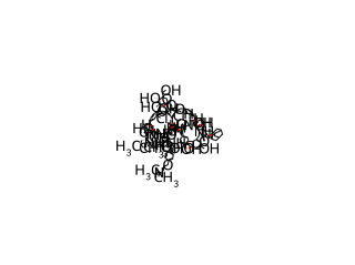 CN[C@H](CC(C)C)C(=O)N[C@H]1C(=O)N[C@@H](CC(=O)NS(=O)(=O)c2ccc(OCCN(C)C)cc2)C(=O)N[C@H]2C(=O)N[C@H]3C(=O)N[C@H](C(=O)N[C@H](C(=O)NC4C5CC6CC(C5)CC4C6)c4cc(O)cc(O)c4-c4cc3ccc4O)[C@H](O)c3ccc(c(Cl)c3)Oc3cc2cc(c3O[C@@H]2O[C@H](CO)[C@@H](O)[C@H](O)[C@H]2O)Oc2ccc(cc2Cl)[C@H]1O